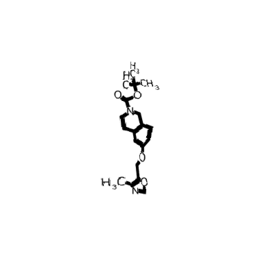 Cc1ncoc1COc1ccc2c(c1)CCN(C(=O)OC(C)(C)C)C2